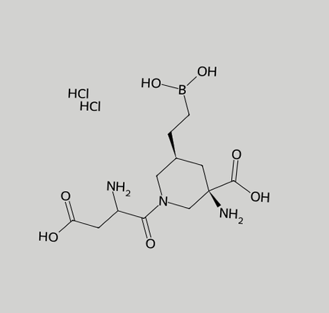 Cl.Cl.NC(CC(=O)O)C(=O)N1C[C@@H](CCB(O)O)C[C@](N)(C(=O)O)C1